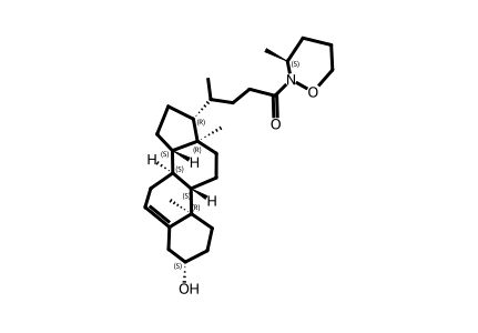 CC(CCC(=O)N1OCCC[C@@H]1C)[C@H]1CC[C@H]2[C@@H]3CC=C4C[C@@H](O)CC[C@]4(C)[C@H]3CC[C@]12C